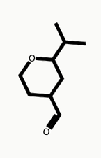 CC(C)C1CC(C=O)CCO1